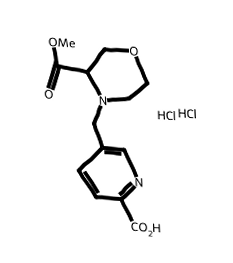 COC(=O)C1COCCN1Cc1ccc(C(=O)O)nc1.Cl.Cl